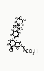 O=C(O)/C=C/C1Cc2c(-c3ccc(S(=O)(=O)N4CCOCC4)cc3)ccc(Cl)c2O1